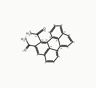 NC(=O)c1cc2cccc3c4cccc5cccc(c(c1C(N)=O)c23)c54